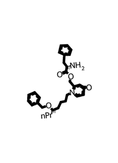 CCC[C@@H](CCCCn1ccc(=O)cc1COC(=O)[C@@H](N)Cc1ccccc1)OCc1ccccc1